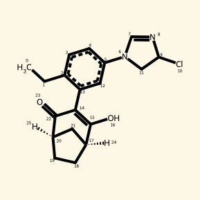 CCc1ccc(N2C=NC(Cl)C2)cc1C1=C(O)[C@H]2CC[C@H](C2)C1=O